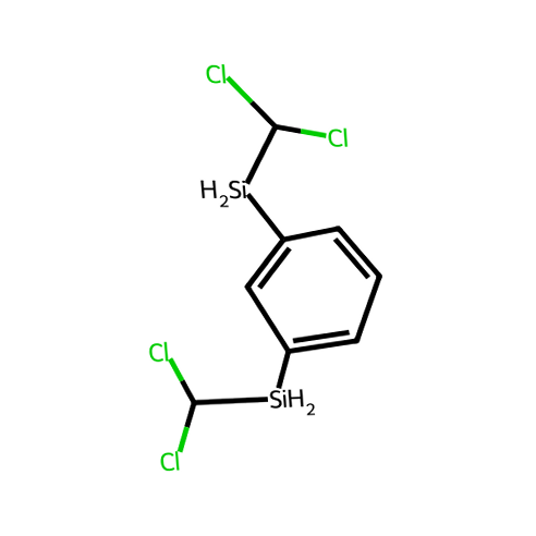 ClC(Cl)[SiH2]c1cccc([SiH2]C(Cl)Cl)c1